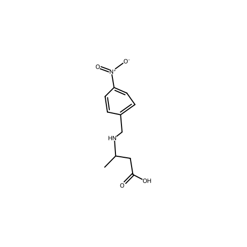 CC(CC(=O)O)NCc1ccc([N+](=O)[O-])cc1